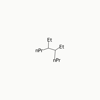 [CH2]CCC(CC)C(CC)CC[CH2]